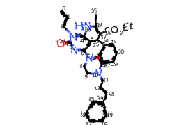 C=CCn1c2c(c(N3CCN(C/C=C/c4ccccc4)CC3)nc1=O)C(c1ccccc1)C(C(=O)OCC)=C(C)N2